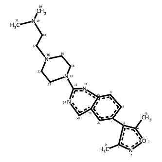 Cc1noc(C)c1-c1ccc2nc(N3CCN(CCN(C)C)CC3)ncc2c1